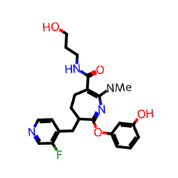 CNC1=C(C(=O)NCCCO)CCC(Cc2ccncc2F)C(Oc2cccc(O)c2)=N1